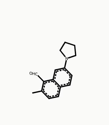 Cc1ccc2ccc(N3CCCC3)cc2c1C=O